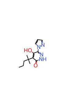 CCCC(C)(C)c1c(O)c(-n2cccn2)n[nH]c1=O